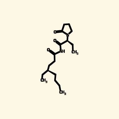 CCCC[C@@H](CC)CCC(=O)NC(=O)[C@H](CC)N1CCCC1=O